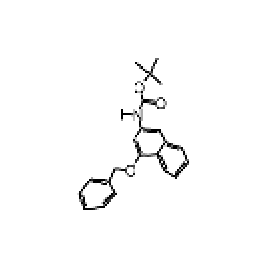 CC(C)(C)OC(=O)N(I)c1cc(OCc2ccccc2)c2ccccc2c1